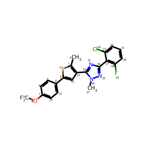 Cc1sc(-c2ccc(OC(F)(F)F)cc2)cc1-c1nc(-c2c(F)cccc2Cl)nn1C